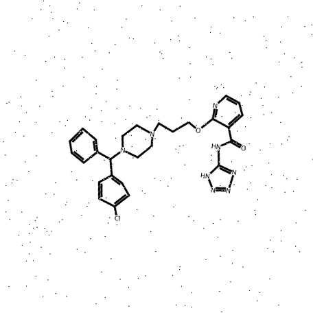 O=C(Nc1nnn[nH]1)c1cccnc1OCCCN1CCN(C(c2ccccc2)c2ccc(Cl)cc2)CC1